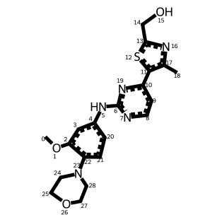 COc1cc(Nc2nccc(-c3sc(CO)nc3C)n2)ccc1N1CCOCC1